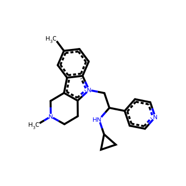 Cc1ccc2c(c1)c1c(n2CC(NC2CC2)c2ccncc2)CCN(C)C1